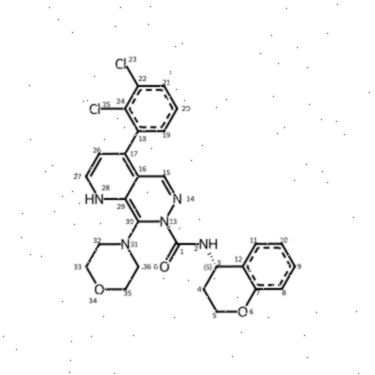 O=C(N[C@H]1CCOc2ccccc21)N1N=CC2=C(c3cccc(Cl)c3Cl)C=CNC2=C1N1CCOCC1